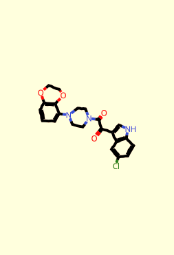 O=C(C(=O)N1CCN(c2cccc3c2OCCO3)CC1)c1c[nH]c2ccc(Cl)cc12